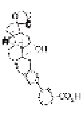 C[C@]12Cc3cn(-c4cccc(C(=O)O)c4)nc3C=C1CC[C@@H]1[C@@H]2[C@@H](O)C[C@@]2(C)[C@H]1CC[C@@]21OCOC12COCO2